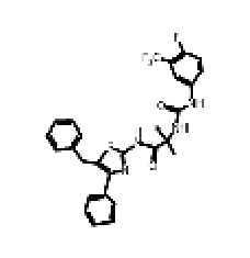 CC(C)(NC(=O)Nc1ccc(F)c(C(F)(F)F)c1)C(=O)Nc1nc(-c2ccccc2)c(Cc2ccccc2)s1